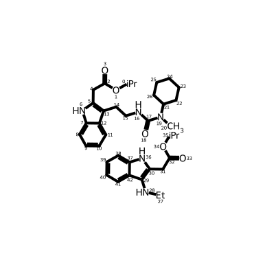 CC(C)OC(=O)Cc1[nH]c2ccccc2c1CCNC(=O)N(C)C1CCCCC1.CCNc1c(CC(=O)OC(C)C)[nH]c2ccccc12